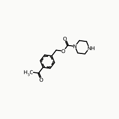 CC(=O)c1ccc(COC(=O)N2CCNCC2)cc1